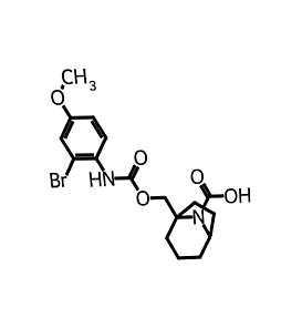 COc1ccc(NC(=O)OCC23CCCC(CC2)N3C(=O)O)c(Br)c1